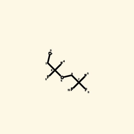 [O]CC(F)(F)OCC(F)(F)F